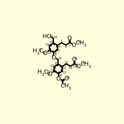 COC(=O)CCc1cc(OCc2cc(OC)c(OC(C)=O)cc2CCC(=O)OC)c(OC)cc1CO